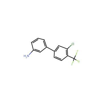 Nc1cccc(-c2ccc(C(F)(F)F)c(Cl)c2)c1